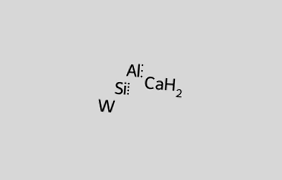 [Al].[CaH2].[Si].[W]